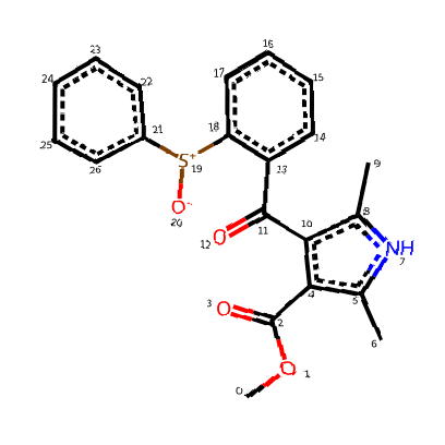 COC(=O)c1c(C)[nH]c(C)c1C(=O)c1ccccc1[S+]([O-])c1ccccc1